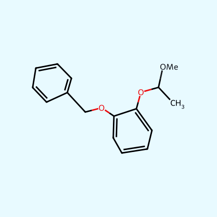 COC(C)Oc1ccccc1OCc1ccccc1